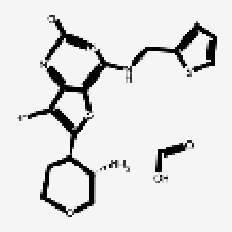 N[C@@H]1COCC[C@H]1c1sc2c(NCc3cccs3)nc(Cl)nc2c1Br.O=CO